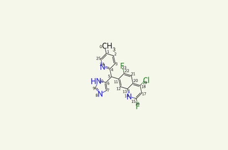 Cc1ccc(C(c2cnc[nH]2)c2cc3nc(F)cc(Cl)c3cc2F)nc1